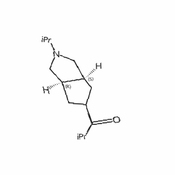 CC(C)C(=O)C1C[C@@H]2CN(C(C)C)C[C@@H]2C1